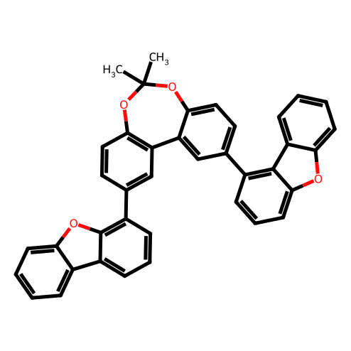 CC1(C)Oc2ccc(-c3cccc4c3oc3ccccc34)cc2-c2cc(-c3cccc4oc5ccccc5c34)ccc2O1